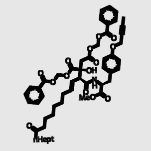 CC#CCOc1ccc(C[C@H](NC(=O)[C@@H](/C=C/CCCCCCC(=O)CCCCCCC)[C@@](O)(CC(=O)OCOC(=O)c2ccccc2)C(=O)OCOC(=O)c2ccccc2)C(=O)OC)cc1